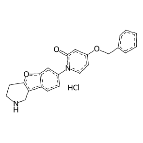 Cl.O=c1cc(OCc2ccccc2)ccn1-c1ccc2c3c(oc2c1)CCNC3